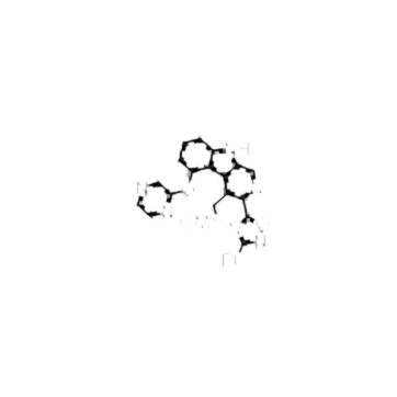 CCc1noc(-c2ncc3[nH]c4cccc(Oc5cnccn5)c4c3c2COC)n1